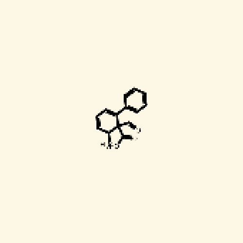 CC1C=CC=C(c2ccccc2)C1(C=O)C(=O)O